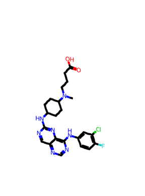 CN(CCCC(=O)O)C1CCC(Nc2ncc3ncnc(Nc4ccc(F)c(Cl)c4)c3n2)CC1